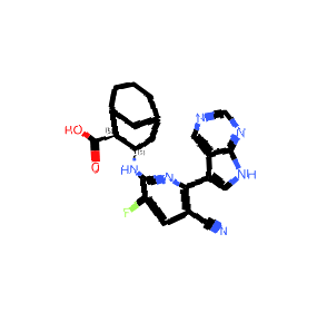 N#Cc1cc(F)c(N[C@H]2CC3CCCC(C3)[C@@H]2C(=O)O)nc1-c1c[nH]c2ncncc12